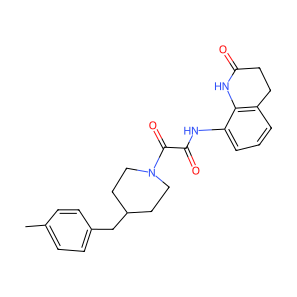 Cc1ccc(CC2CCN(C(=O)C(=O)Nc3cccc4c3NC(=O)CC4)CC2)cc1